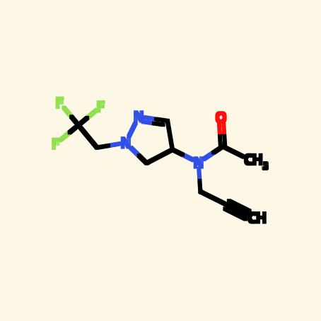 C#CCN(C(C)=O)C1C=NN(CC(F)(F)F)C1